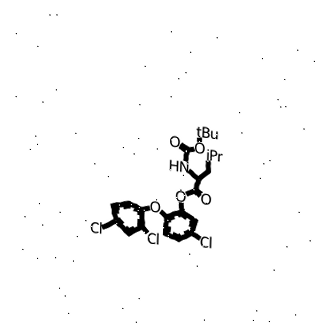 CC(C)CC(NC(=O)OC(C)(C)C)C(=O)Oc1cc(Cl)ccc1Oc1ccc(Cl)cc1Cl